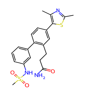 Cc1nc(C)c(-c2ccc(-c3cccc(NS(C)(=O)=O)c3)c(CCC(N)=O)c2)s1